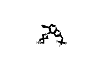 N#Cc1cnc2sc(CC(F)(F)F)cc2c1N1CC2(CNC2)C1